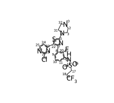 CN1CCN(c2nc(-c3cccc(NS(=O)(=O)CCC(F)(F)F)c3F)c(-c3ccnc(Cl)n3)s2)CC1